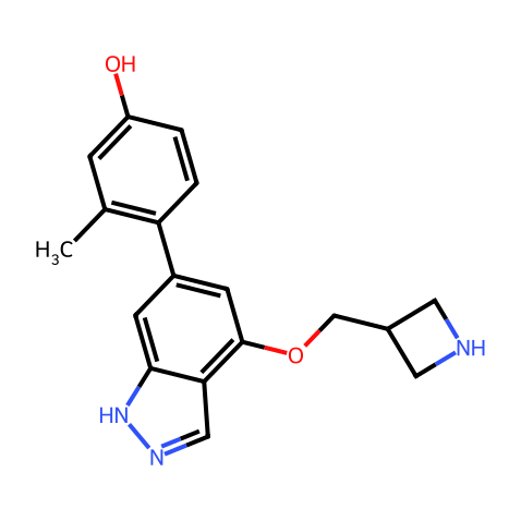 Cc1cc(O)ccc1-c1cc(OCC2CNC2)c2cn[nH]c2c1